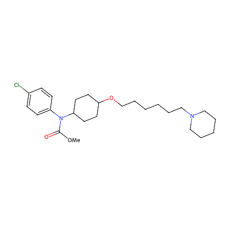 COC(=O)N(c1ccc(Cl)cc1)C1CCC(OCCCCCCN2CCCCC2)CC1